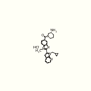 Cl.Cn1c(-c2cc3cccnc3n2CC2CC2)nc2cc(C(=O)N3CCC[C@@H](N)C3)ccc21